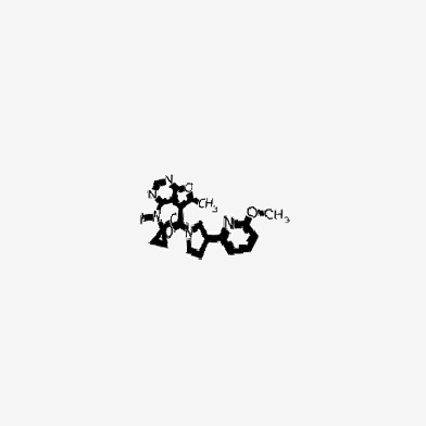 COc1cccc(C2CCN(C(=O)c3c(C)oc4ncnc(N(I)C5(C)CC5)c34)C2)n1